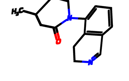 CC1CCN(c2cccc3c2CCN=C3)C(=O)C1